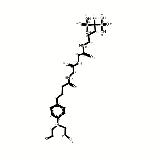 O=C(CCCc1ccc(N(CCCl)CCCl)cc1)NCC(=O)NCC(=O)NCCCC(O)(P(=O)(O)O)P(=O)(O)O